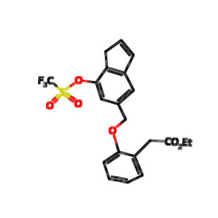 CCOC(=O)Cc1ccccc1OCc1cc2c(c(OS(=O)(=O)C(F)(F)F)c1)CC=C2